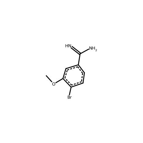 COc1cc(C(=N)N)ccc1Br